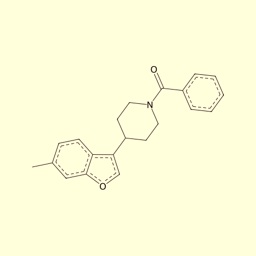 Cc1ccc2c(C3CCN(C(=O)c4ccccc4)CC3)coc2c1